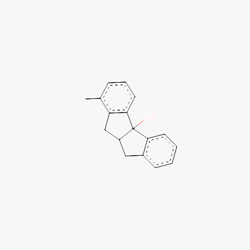 Cc1cccc2c1CC1Cc3ccccc3C21O